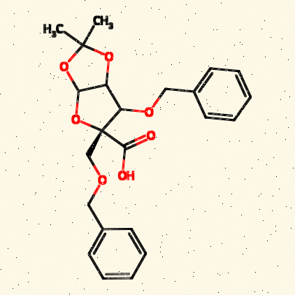 CC1(C)OC2O[C@@](COCc3ccccc3)(C(=O)O)C(OCc3ccccc3)C2O1